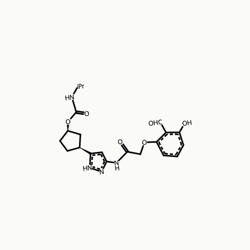 CC(C)NC(=O)O[C@@H]1CC[C@H](c2cc(NC(=O)COc3cccc(O)c3C=O)n[nH]2)C1